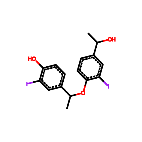 CC(O)c1ccc(OC(C)c2ccc(O)c(I)c2)c(I)c1